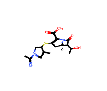 CC(=N)N1CC(C)C(SC2=C(C(=O)O)N3C(=O)C(C(C)O)[C@H]3C2)C1